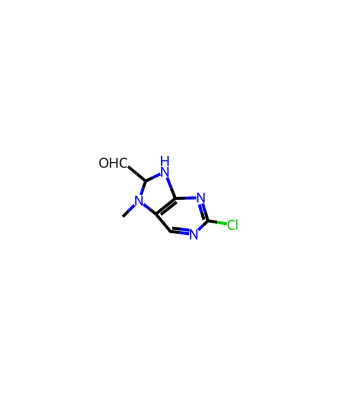 CN1c2cnc(Cl)nc2NC1C=O